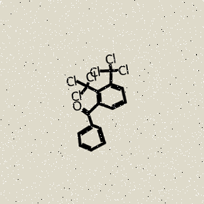 O=C(c1ccccc1)c1cccc(C(Cl)(Cl)Cl)c1C(Cl)(Cl)Cl